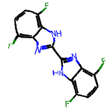 Fc1ccc(F)c2[nH]c(-c3nc4c(F)ccc(F)c4[nH]3)nc12